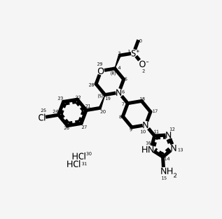 C[S+]([O-])C[C@H]1CN(C2CCN(c3nnc(N)[nH]3)CC2)[C@@H](Cc2ccc(Cl)cc2)CO1.Cl.Cl